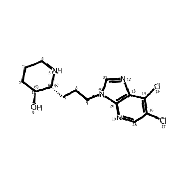 O[C@H]1CCCN[C@@H]1CCCn1cnc2c(Cl)c(Cl)cnc21